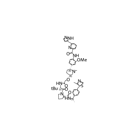 COc1cc([C@H]2CC[C@@H](OCC(=O)N[C@H](C(=O)N3CCC[C@H]3C(=O)N[C@@H](C)c3ccc(-c4scnc4C)cc3)C(C)(C)C)CN2C)ccc1NC(=O)c1cccc(-c2ccn[nH]2)n1